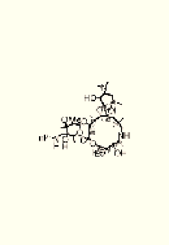 CCCNCC1(O)C(C)OC(O[C@H]2[C@H](C)[C@@H](O[C@@H]3O[C@H](C)CC(N(C)C)C3O)[C@](C)(O)C[C@@H](C)CN[C@H](C)[C@@H](O)[C@](C)(O)[C@@H](CC)OC(=O)[C@@H]2C)CC1(C)OC